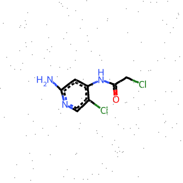 Nc1cc(NC(=O)CCl)c(Cl)cn1